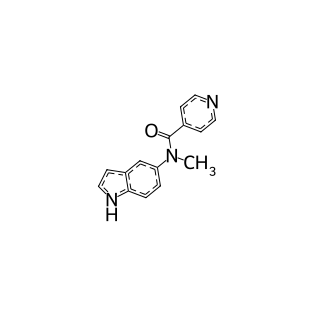 CN(C(=O)c1ccncc1)c1ccc2[nH]ccc2c1